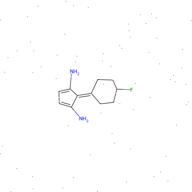 NC1=CC=C(N)C1=C1CCC(F)CC1